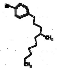 CCCCCCC(C)CCCc1ccc(Br)cc1